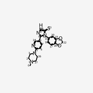 CN1CCN(c2ccc(-c3n[nH]c(=S)n3-c3ccc4c(c3)OCO4)cn2)CC1